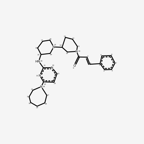 O=C(C=Cc1ccccc1)N1CCCC(N2CCCC(Nc3nccc(N4CCCCCC4)n3)C2)C1